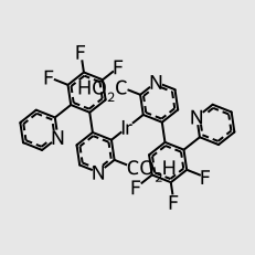 O=C(O)c1nccc(-c2cc(F)c(F)c(F)c2-c2ccccn2)[c]1[Ir][c]1c(-c2cc(F)c(F)c(F)c2-c2ccccn2)ccnc1C(=O)O